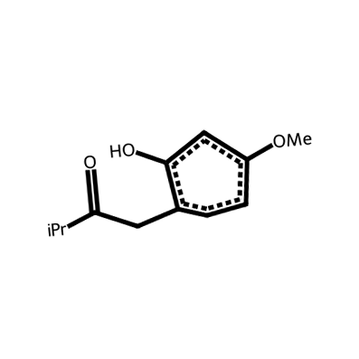 COc1ccc(CC(=O)C(C)C)c(O)c1